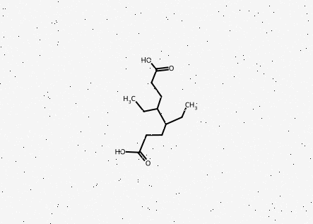 CCC(CCC(=O)O)C(CC)CCC(=O)O